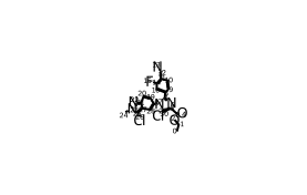 CCOC(=O)c1nc(-c2ccc(C#N)c(F)c2)n(-c2ccc3nn(C)c(Cl)c3c2)c1Cl